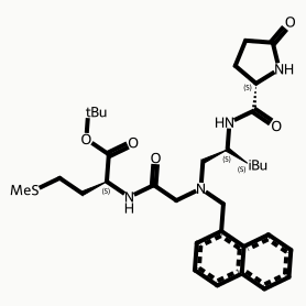 CC[C@H](C)[C@@H](CN(CC(=O)N[C@@H](CCSC)C(=O)OC(C)(C)C)Cc1cccc2ccccc12)NC(=O)[C@@H]1CCC(=O)N1